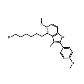 COc1ccc(-c2[nH]c3ccc(OC)c(CCCCCCBr)c3c2C)cc1